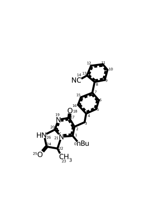 CCCCc1c(Cc2ccc(-c3ccccc3C#N)cc2)c(=O)nc2n1C(C)C(=O)N2